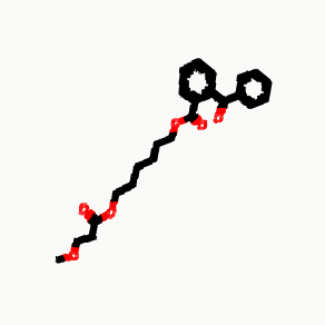 COCCC(=O)OCCCCCCOC(=O)c1ccccc1C(=O)c1ccccc1